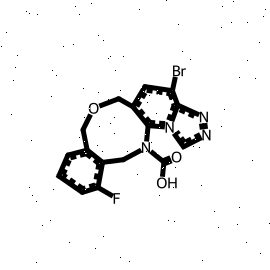 O=C(O)N1Cc2c(F)cccc2COCc2cc(Br)c3nncn3c21